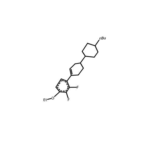 CCCCC1CCC(C2CC=C(c3ccc(OCC)c(F)c3F)CC2)CC1